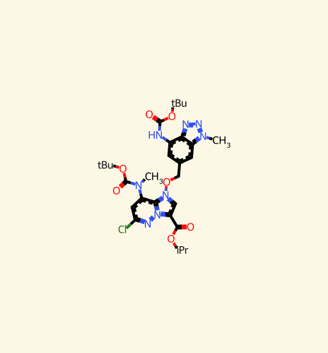 CC(C)OC(=O)c1cn(OCc2cc(NC(=O)OC(C)(C)C)c3nnn(C)c3c2)c2c(N(C)C(=O)OC(C)(C)C)cc(Cl)n[n+]12